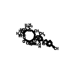 C#Cc1ccc(CN(C)[C@H]2C[C@@H](C)O[C@@H](O[C@@H]3[C@@H](C)[C@H](OC)[C@@H](C)C(=O)O[C@H](CC)[C@@](C)(O)[C@H](O)[C@@H](C)N(C)C[C@H](C)C[C@@]3(C)O)[C@@H]2O)cc1